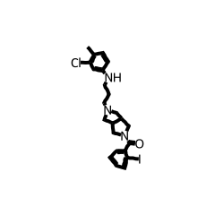 Cc1ccc(NCCCN2CC3CN(C(=O)c4ccccc4I)CC3C2)cc1Cl